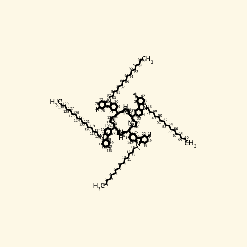 CCCCCCCCCCCCCCCCn1c2ccc(I)cc2c2cc(-c3c4nc(c(-c5ccc6c(c5)c5cc(I)ccc5n6CCCCCCCCCCCCCCCC)c5ccc([nH]5)c(-c5ccc6c(c5)c5cc(I)ccc5n6CCCCCCCCCCCCCCCC)c5nc(c(-c6ccc7c(c6)c6cc(I)ccc6n7CCCCCCCCCCCCCCCC)c6ccc3[nH]6)C=C5)C=C4)ccc21